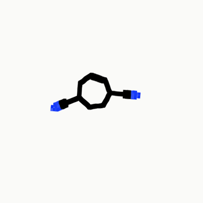 N#CC1C=CCC(C#N)CC1